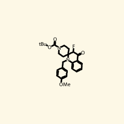 COc1ccc(CN2c3ccccc3C(=O)C(F)C23CCN(C(=O)OC(C)(C)C)CC3)cc1